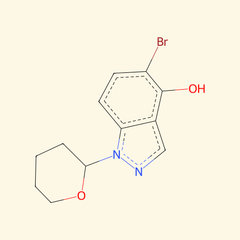 Oc1c(Br)ccc2c1cnn2C1CCCCO1